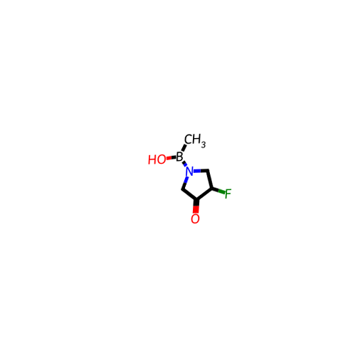 CB(O)N1CC(=O)C(F)C1